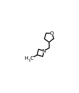 CC1CN(CC2CCOC2)C1